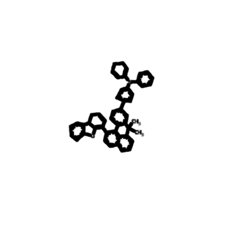 CC1(C)c2cc(-c3ccc(N(C4=CCCC=C4)c4ccccc4)cc3)ccc2-c2c(C3=C4Oc5ccccc5C4CC=C3)ccc3cccc1c23